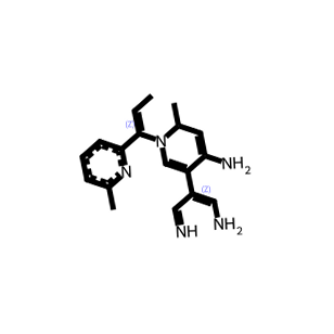 C/C=C(/c1cccc(C)n1)N1C=C(/C(C=N)=C/N)C(N)=CC1C